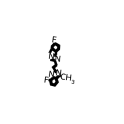 Cc1nc(C=Cc2cn3c(n2)-c2ccc(F)cc2C3)nc2c(F)cccc12